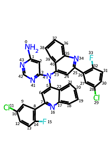 Nc1cc(N(c2cc(-c3cc(Cl)ccc3F)nc3ccccc23)c2cc(-c3cc(Cl)ccc3F)nc3ccccc23)ncn1